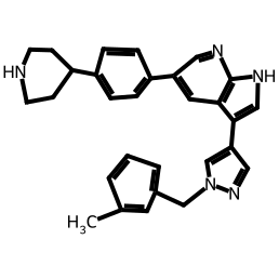 Cc1cccc(Cn2cc(-c3c[nH]c4ncc(-c5ccc(C6CCNCC6)cc5)cc34)cn2)c1